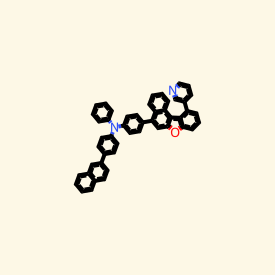 c1ccc(N(c2ccc(-c3ccc4ccccc4c3)cc2)c2ccc(-c3cc4oc5cccc(-c6cccnc6)c5c4c4ccccc34)cc2)cc1